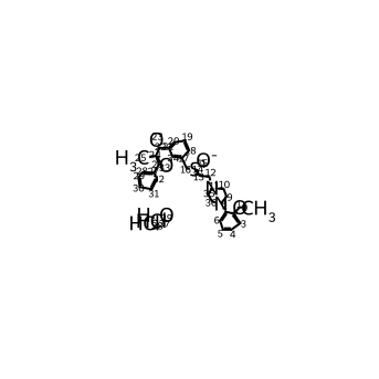 COc1ccccc1N1CCN(CC[S+]([O-])Cc2cccc3c(=O)c(C)c(-c4ccccc4)oc23)CC1.Cl.Cl.O